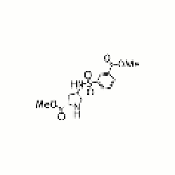 COC(=O)c1cccc(S(=O)(=O)N[C@H]2CN[C@H](C(=O)OC)C2)c1